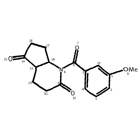 COc1cccc(C(=O)N2C(=O)CCC3C(=O)CCC32)c1